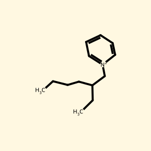 CCCCC(CC)C[n+]1ccccc1